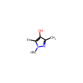 CCCCn1nc(C)c(O)c1CC